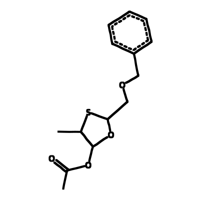 CC(=O)OC1OC(COCc2ccccc2)SC1C